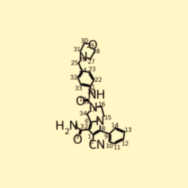 N#Cc1c(C(N)=O)c2n(c1-c1ccccc1)CCN(C(=O)Nc1ccc(CN3CCOCC3)cc1)C2